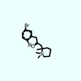 CC1(CC(=O)Cc2cc(Br)ccc2Br)CCCC[Si]1(C)C